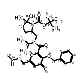 CC(C)N(CC1COC(C)(C)N1C(=O)OC(C)(C)C)C(=O)c1oc(COPI)cc(=O)c1OCc1ccccc1